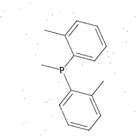 Cc1ccccc1P(C)c1ccccc1C